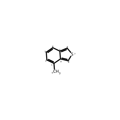 Cc1cccc2cs[c]c12